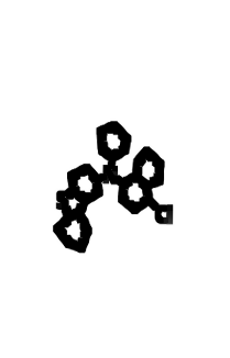 Clc1ccc(N(c2ccccc2)c2ccc3sc4ccccc4c3c2)c2ccccc12